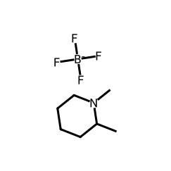 CC1CCCCN1C.F[B-](F)(F)F